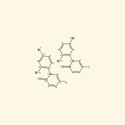 Cc1ccc(=O)n(-c2cc(Br)ccc2Br)c1.Cc1ccc(=O)n(-c2ccc(Br)cc2Br)c1